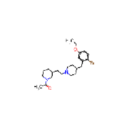 CCOc1ccc(Br)c(CC2CCN(CCC3CCCN(C(C)=O)C3)CC2)c1